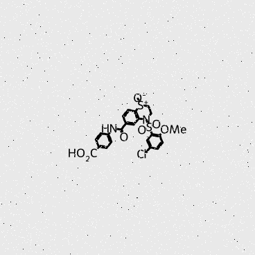 COc1ccc(Cl)cc1S(=O)(=O)N1CC[S+]([O-])c2ccc(C(=O)Nc3ccc(C(=O)O)cc3)cc21